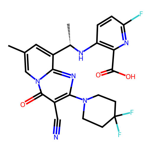 Cc1cc([C@H](C)Nc2ccc(F)nc2C(=O)O)c2nc(N3CCC(F)(F)CC3)c(C#N)c(=O)n2c1